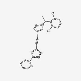 CC(c1c(Cl)cccc1Cl)n1cc(C#Cc2nnc(-c3ccccn3)s2)cn1